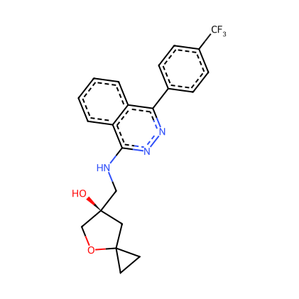 O[C@]1(CNc2nnc(-c3ccc(C(F)(F)F)cc3)c3ccccc23)COC2(CC2)C1